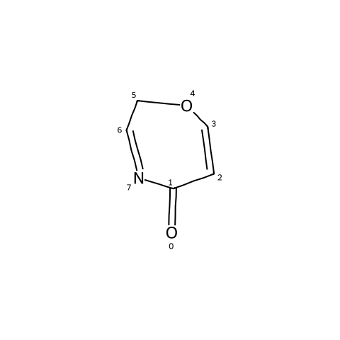 O=C1C=COCC=N1